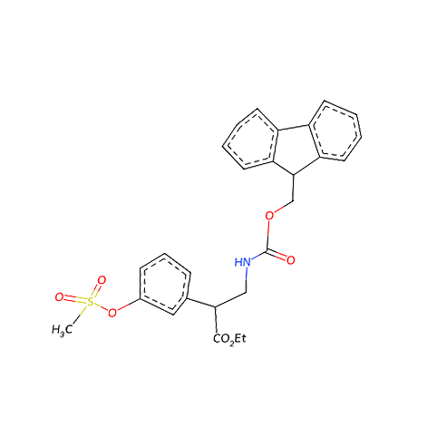 CCOC(=O)C(CNC(=O)OCC1c2ccccc2-c2ccccc21)c1cccc(OS(C)(=O)=O)c1